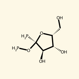 OC[C@H]1O[C@](P)(OP)[C@H](O)[C@H]1O